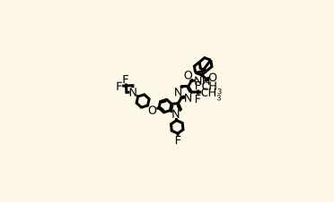 CC(=O)C1(NC(=O)c2cnc(-c3cn(C4CCC(F)CC4)c4cc(O[C@H]5CC[C@H](N6CC(F)(F)C6)CC5)ccc34)nc2C(C)(F)F)C2CC3CC(C2)CC1C3